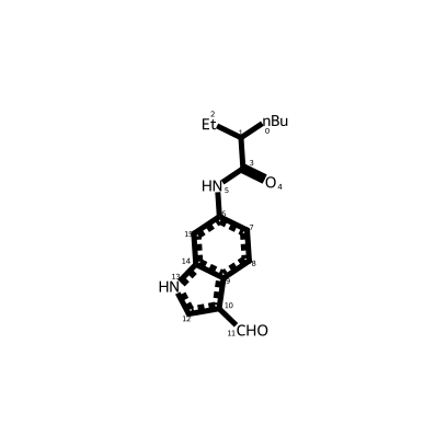 CCCCC(CC)C(=O)Nc1ccc2c(C=O)c[nH]c2c1